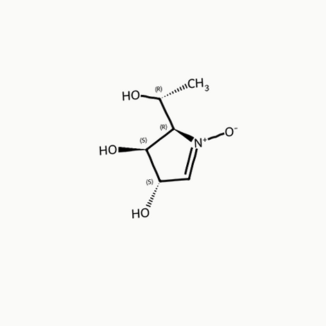 C[C@@H](O)[C@@H]1[C@H](O)[C@@H](O)C=[N+]1[O-]